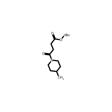 CCCCOC(=O)CCC(=O)N1CCC(C)CC1